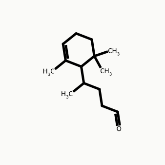 CC1=CCCC(C)(C)C1C(C)CCC=O